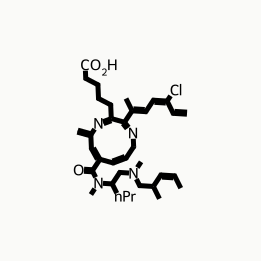 C=C\C(Cl)=C/C=C(C)/C1=N/C/C=C\C(C(=O)N(C)C(CCC)CN(C)CC(C)/C=C\C)=C/C(=C)/N=C\1CCCCC(=O)O